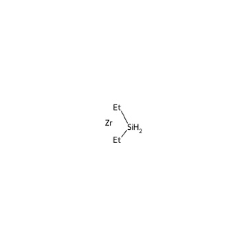 CC[SiH2]CC.[Zr]